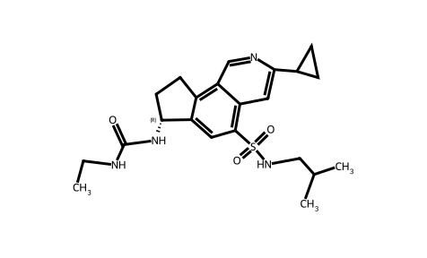 CCNC(=O)N[C@@H]1CCc2c1cc(S(=O)(=O)NCC(C)C)c1cc(C3CC3)ncc21